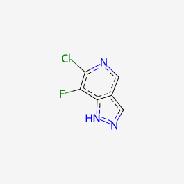 Fc1c(Cl)ncc2cn[nH]c12